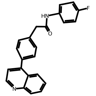 O=C(Cc1ccc(-c2ccnc3ccccc23)cc1)Nc1ccc(F)cc1